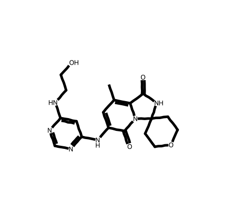 Cc1cc(Nc2cc(NCCO)ncn2)c(=O)n2c1C(=O)NC21CCOCC1